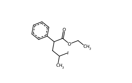 CCOC(=O)C(CC(C)I)c1ccccc1